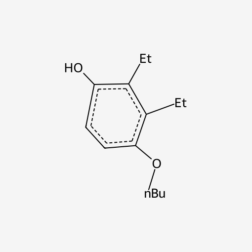 CCCCOc1ccc(O)c(CC)c1CC